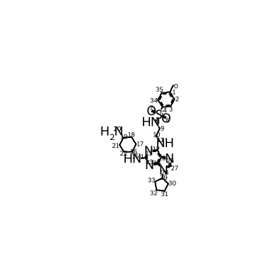 Cc1ccc(S(=O)(=O)NCCNc2nc(N[C@H]3CC[C@H](N)CC3)nc3c2ncn3C2CCCC2)cc1